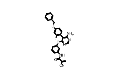 C=C(C#N)C(=O)Nc1cccc(Oc2ncnc(N)c2-c2ccc(OCc3ccccc3)cc2F)c1